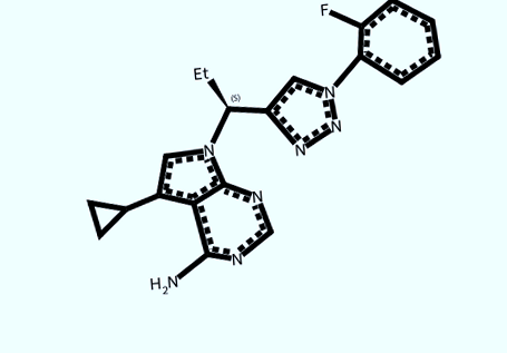 CC[C@@H](c1cn(-c2ccccc2F)nn1)n1cc(C2CC2)c2c(N)ncnc21